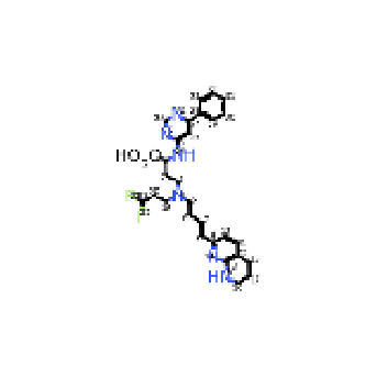 O=C(O)C(CCN(CCCCc1ccc2c(n1)NCCC2)CCC(F)F)Nc1cc(-c2ccccc2)ncn1